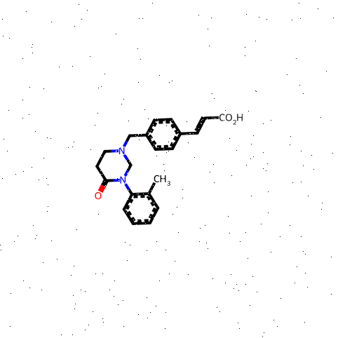 Cc1ccccc1N1CN(Cc2ccc(/C=C/C(=O)O)cc2)CCC1=O